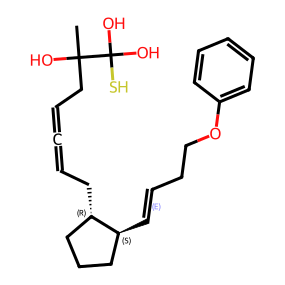 CC(O)(CC=C=CC[C@H]1CCC[C@@H]1/C=C/CCOc1ccccc1)C(O)(O)S